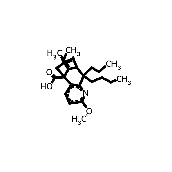 C/C=C1\C2C=C(C)CC1(C(=O)O)c1ccc(OC)nc1C2(CCC)CCCC